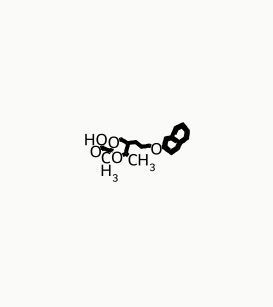 CC1OC(C)(C(=O)O)OCC1CCCOc1ccc2ccccc2c1